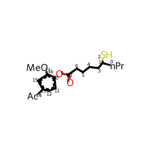 CCCC(S)CCCCC(=O)Oc1ccc(C(C)=O)cc1OC